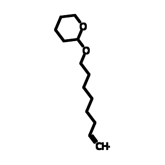 [CH]=CCCCCCCOC1CCCCO1